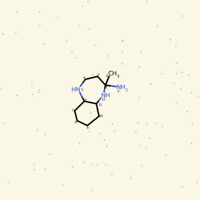 CC1(N)CCNC2CCCCC2N1